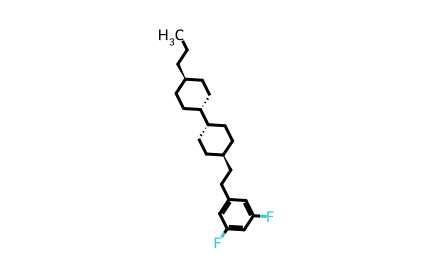 CCC[C@H]1CC[C@H]([C@H]2CC[C@H](CCc3cc(F)cc(F)c3)CC2)CC1